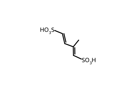 CC(/C=C/S(=O)(=O)O)=C\S(=O)(=O)O